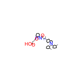 C/C(=C\C(=O)Nc1ccccc1OCCCC(=O)O)c1ccc2c(ccn2C(c2cccc(C)c2)c2ccccc2C)c1